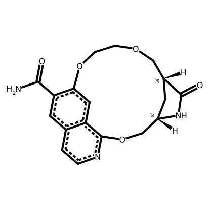 NC(=O)c1cc2ccnc3c2cc1OCCOC[C@H]1C[C@@H](CO3)NC1=O